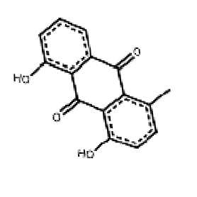 Cc1ccc(O)c2c1C(=O)c1cccc(O)c1C2=O